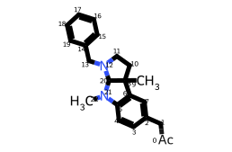 CC(=O)Cc1ccc2c(c1)C1(C)CCN(Cc3ccccc3)C1N2C